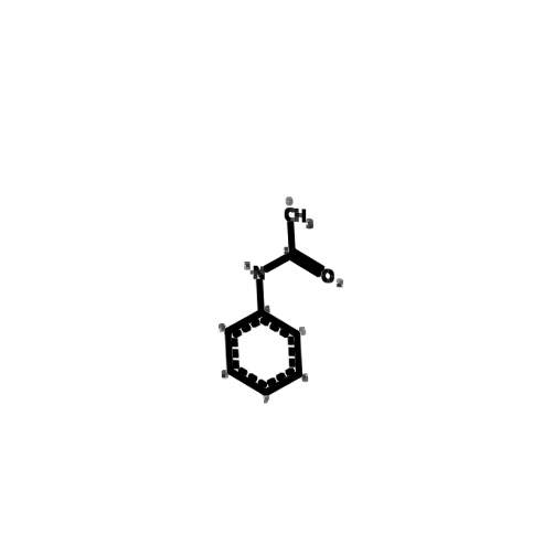 CC(=O)[N]c1ccccc1